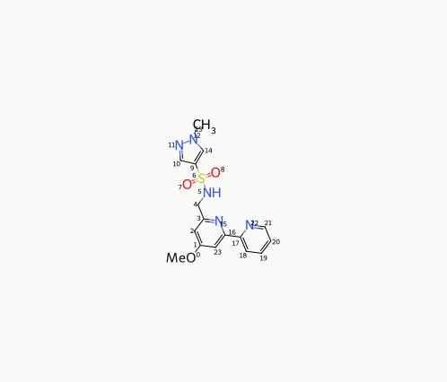 COc1cc(CNS(=O)(=O)c2cnn(C)c2)nc(-c2ccccn2)c1